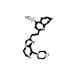 O=C(O)c1cc(/C=C/c2cn3ccnc(N4CCOCC4)c3n2)nc2ccccc12